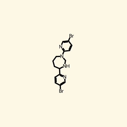 Brc1ccc(C2CCCN(c3ccc(Br)cn3)CN2)nc1